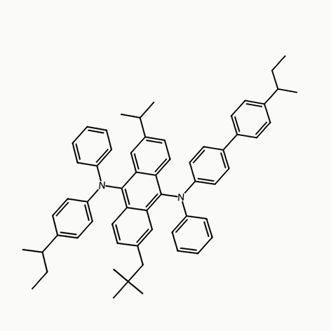 CCC(C)c1ccc(-c2ccc(N(c3ccccc3)c3c4ccc(C(C)C)cc4c(N(c4ccccc4)c4ccc(C(C)CC)cc4)c4ccc(CC(C)(C)C)cc34)cc2)cc1